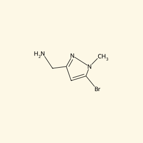 Cn1nc(CN)cc1Br